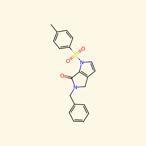 Cc1ccc(S(=O)(=O)n2ccc3c2C(=O)N(Cc2ccccc2)C3)cc1